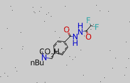 CCCCN(Cc1ccc(C(=O)NNC(=O)C(F)F)cc1)C(=O)O